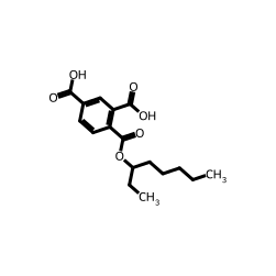 CCCCCC(CC)OC(=O)c1ccc(C(=O)O)cc1C(=O)O